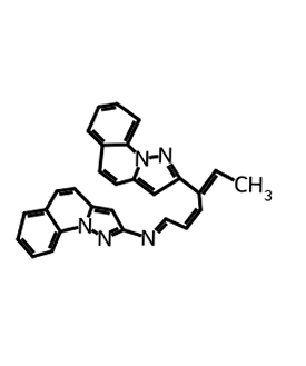 C\C=C(/C=C\C=N\c1cc2ccc3ccccc3n2n1)c1cc2ccc3ccccc3n2n1